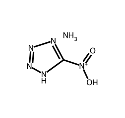 N.O=[N+](O)c1nnn[nH]1